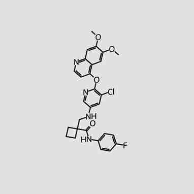 COc1cc2nccc(Oc3ncc(NCC4(C(=O)Nc5ccc(F)cc5)CCC4)cc3Cl)c2cc1OC